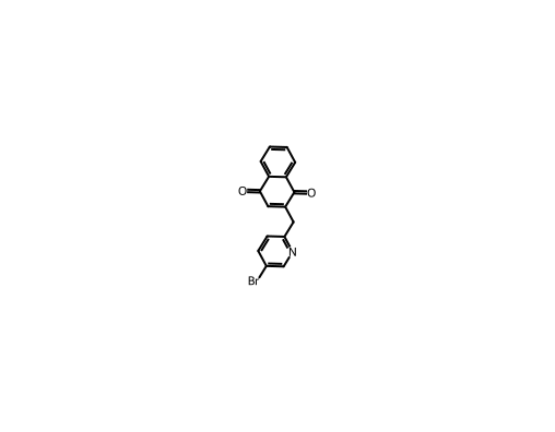 O=C1C=C(Cc2ccc(Br)cn2)C(=O)c2ccccc21